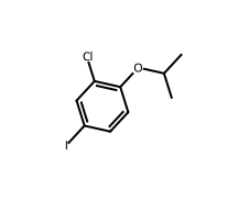 CC(C)Oc1ccc(I)cc1Cl